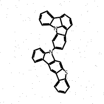 c1ccc2c(c1)sc1cc3c(cc12)c1ccccc1n3-c1ccc2c3cccc4c5ccccc5n(c2c1)c43